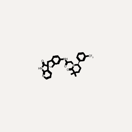 CC1(C)CC[C@H](c2cccc(C(F)(F)F)c2)N(CC(=O)Nc2ccc3c(c2)C[C@@]2(C3)C(=O)Nc3ncccc32)C1=O